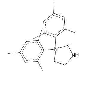 Cc1cc(C)c([N+]2(c3c(C)cc(C)cc3C)[CH]NCC2)c(C)c1